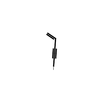 C=CC#CI